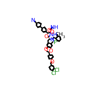 Cc1cccc(F)c1CN1Cc2cc3c(cc2C[C@H]1C(=O)NC1(Cc2ccc(-c4ccc(C#N)cc4)cc2)OC(=N)O1)OCC(c1ccc(OCc2ccc(Cl)c(Cl)c2)cc1)O3